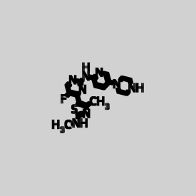 CNc1nc(C)c(-c2nc(Nc3ccc(N4CCNCC4)cn3)ncc2F)s1